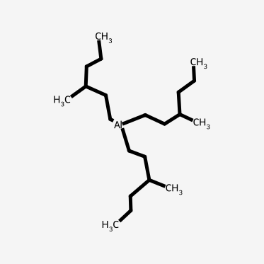 CCCC(C)C[CH2][Al]([CH2]CC(C)CCC)[CH2]CC(C)CCC